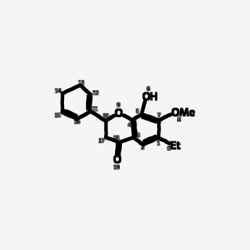 CCc1cc2c(c(O)c1OC)OC(C1=CCCC=C1)CC2=O